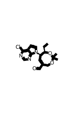 CC[C@H]1OC(C)(C)OC/C(C=O)=C\[C@H]1n1ccc2c(Cl)ncnc21